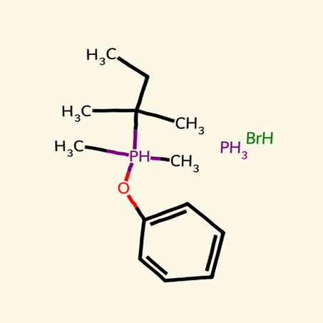 Br.CCC(C)(C)[PH](C)(C)Oc1ccccc1.P